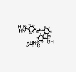 CC(C)CNC(=O)c1ccc(-c2ccccc2C#Cc2ccc(C(=N)N)cc2)c(C(=O)O)c1